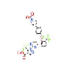 COC(=O)N1CCC(c2ccc(COc3c(-c4ccnc(-n5ncc(C(=O)O)c5C(F)(F)F)n4)cccc3C(F)(F)F)cc2)CC1